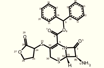 N[C@@H]1C(=O)N2C(C(=O)OC(c3ccccc3)c3ccccc3)=C(SC3CCOC3=O)CS[C@@H]12